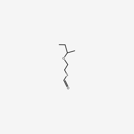 CCC(C)OCCSC=O